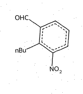 CCCCc1c(C=O)cccc1[N+](=O)[O-]